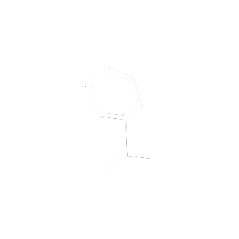 [Li][CH](C)c1ccccc1